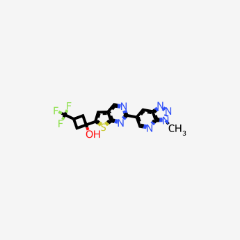 Cn1nnc2cc(-c3ncc4cc(C5(O)CC(C(F)(F)F)C5)sc4n3)cnc21